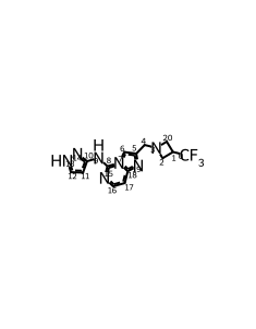 FC(F)(F)C1CN(Cc2cn3c(Nc4cc[nH]n4)nccc3n2)C1